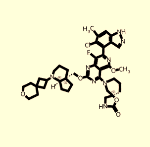 COc1nc(-c2c(Cl)c(C)cc3[nH]ncc23)c(F)c2nc(OC[C@]34CCC[C@H]3N(C3CC5(CCOCC5)C3)CCC4)nc(N3CCC[C@]4(CNC(=O)O4)C3)c12